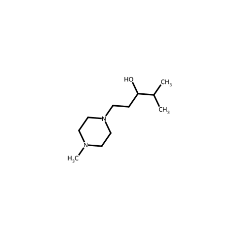 CC(C)C(O)CCN1CCN(C)CC1